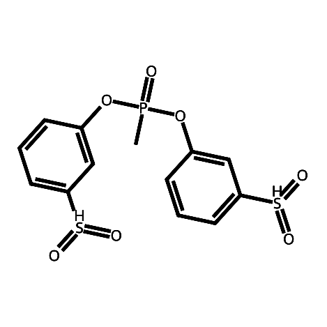 CP(=O)(Oc1cccc([SH](=O)=O)c1)Oc1cccc([SH](=O)=O)c1